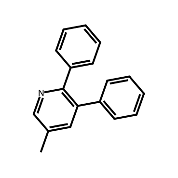 Cc1cnc(-c2ccccc2)c(-c2ccccc2)c1